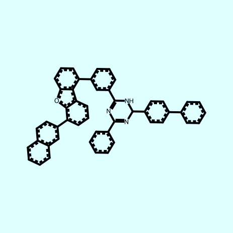 c1ccc(C2=NC(c3ccc(-c4ccccc4)cc3)NC(c3cccc(-c4cccc5oc6c(-c7ccc8ccccc8c7)cccc6c45)c3)=N2)cc1